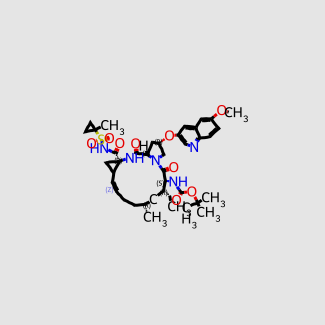 CC[C@@H]1C[C@H](C)CC/C=C\C2C[C@@]2(C(=O)NS(=O)(=O)C2(C)CC2)NC(=O)[C@@H]2C[C@@H](Oc3cnc4ccc(OC)cc4c3)CN2C(=O)[C@H]1NC(=O)OC(C)(C)C